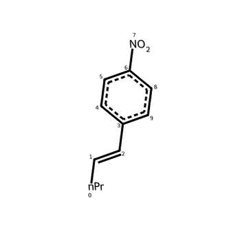 [CH2]CCC=Cc1ccc([N+](=O)[O-])cc1